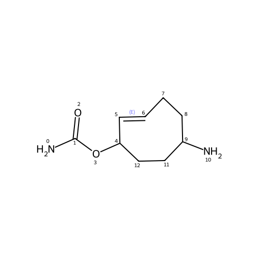 NC(=O)OC1/C=C/CCC(N)CC1